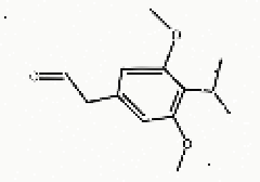 COc1cc(CC=O)cc(OC)c1C(C)C